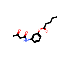 CCCCC(=O)Oc1cccc(NC(=O)CC(C)=O)c1